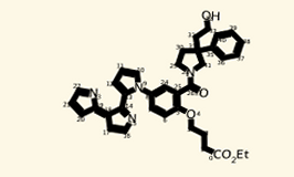 CCOC(=O)CCCOc1ccc(-n2cccc2C2=NC=CC2=C2C=CC=N2)cc1C(=O)N1CCC(CCO)(c2ccccc2)C1